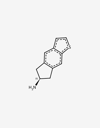 N[C@H]1Cc2cc3ccsc3cc2C1